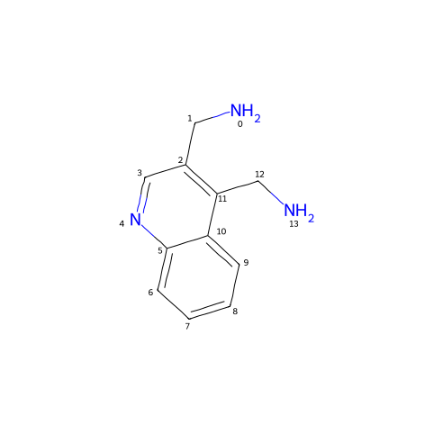 NCc1cnc2ccccc2c1CN